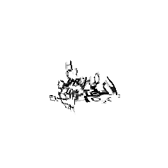 C=C(C)C(=O)OC.C=C(C=CC(=O)O)C(=O)OCCCC.CCC(CO)(CO)CO